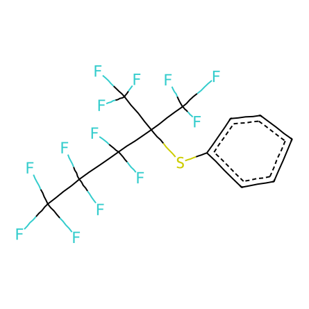 FC(F)(F)C(F)(F)C(F)(F)C(Sc1ccccc1)(C(F)(F)F)C(F)(F)F